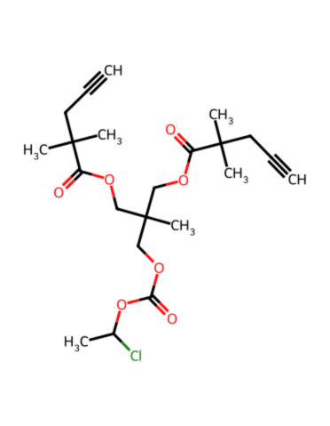 C#CCC(C)(C)C(=O)OCC(C)(COC(=O)OC(C)Cl)COC(=O)C(C)(C)CC#C